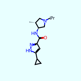 CC(C)N1C[C@@H](C)[C@H](NC(=O)c2cc(C3CC3)[nH]n2)C1